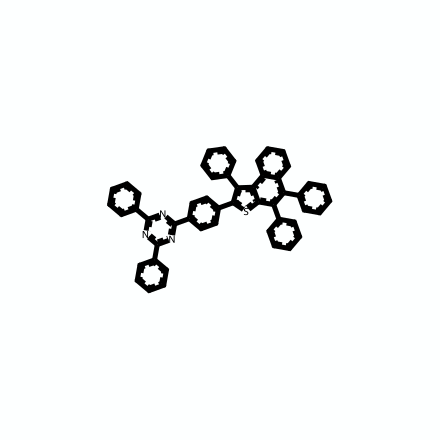 c1ccc(-c2nc(-c3ccccc3)nc(-c3ccc(-c4sc5c(-c6ccccc6)c(-c6ccccc6)c6ccccc6c5c4-c4ccccc4)cc3)n2)cc1